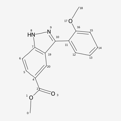 COC(=O)c1ccc2[nH]nc(-c3ccccc3OC)c2c1